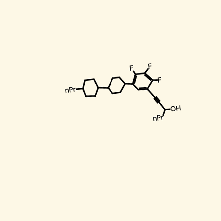 CCCC(O)C#Cc1cc(C2CCC(C3CCC(CCC)CC3)CC2)c(F)c(F)c1F